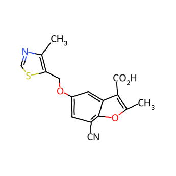 Cc1ncsc1COc1cc(C#N)c2oc(C)c(C(=O)O)c2c1